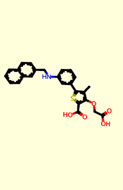 Cc1c(-c2cccc(NCc3ccc4ccccc4c3)c2)sc(C(=O)O)c1OCC(=O)O